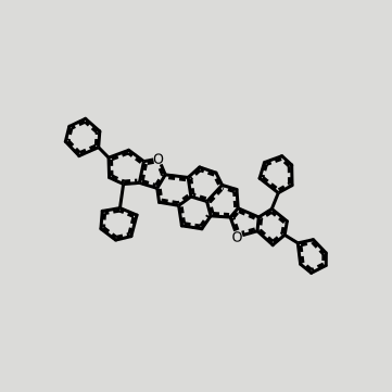 c1ccc(-c2cc(-c3ccccc3)c3c(c2)oc2c3cc3ccc4c5oc6cc(-c7ccccc7)cc(-c7ccccc7)c6c5cc5ccc2c3c54)cc1